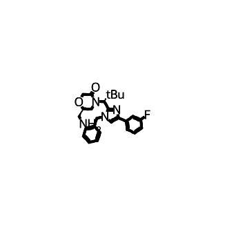 CC(C)(C)[C@H](c1nc(-c2cccc(F)c2)cn1Cc1ccccc1)N1C[C@@H](CN)OCC1=O